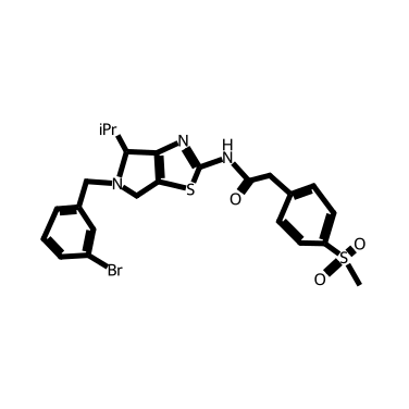 CC(C)C1c2nc(NC(=O)Cc3ccc(S(C)(=O)=O)cc3)sc2CN1Cc1cccc(Br)c1